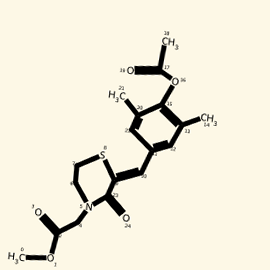 COC(=O)CN1CCSC(=Cc2cc(C)c(OC(C)=O)c(C)c2)C1=O